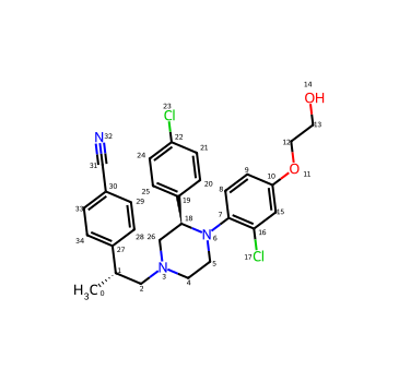 C[C@@H](CN1CCN(c2ccc(OCCO)cc2Cl)[C@H](c2ccc(Cl)cc2)C1)c1ccc(C#N)cc1